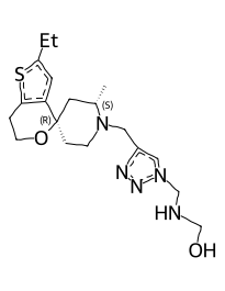 CCc1cc2c(s1)CCO[C@@]21CCN(Cc2cn(CNCO)nn2)[C@@H](C)C1